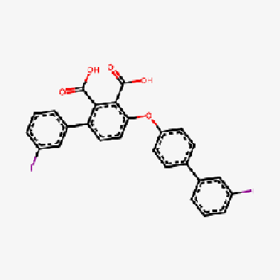 O=C(O)c1c(Oc2ccc(-c3cccc(I)c3)cc2)ccc(-c2cccc(I)c2)c1C(=O)O